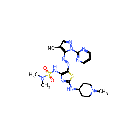 CN1CCC(Nc2nc(NS(=O)(=O)N(C)C)c(/N=N/c3c(C#N)cnn3-c3ncccn3)s2)CC1